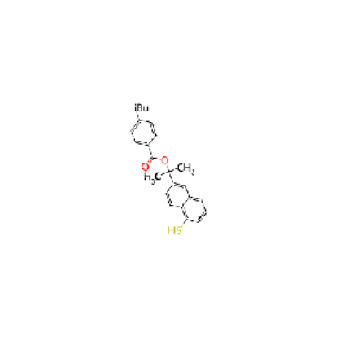 CCC(C)c1ccc(C(=O)OC(C)(C)c2ccc3c(S)cccc3c2)cc1